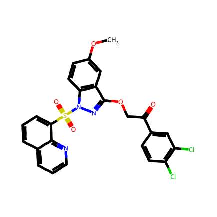 COc1ccc2c(c1)c(OCC(=O)c1ccc(Cl)c(Cl)c1)nn2S(=O)(=O)c1cccc2cccnc12